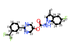 Cc1cn(NC(=O)Oc2cnc(-c3cccc(C(F)F)c3)nc2)c2ccc(F)cc12